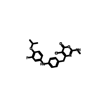 CNc1nc(Cc2ccc(Nc3ccc(OC(C)C)c(F)c3)cc2)c(Cl)c(=O)o1